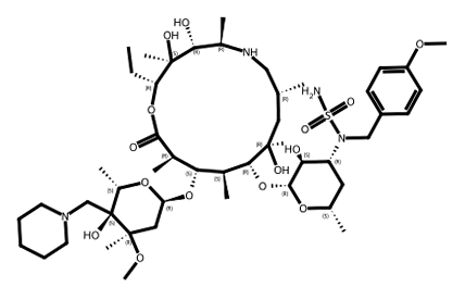 CC[C@H]1OC(=O)[C@H](C)[C@@H](O[C@H]2C[C@@](C)(OC)[C@](O)(CN3CCCCC3)[C@H](C)O2)[C@H](C)[C@@H](O[C@H]2O[C@@H](C)C[C@@H](N(Cc3ccc(OC)cc3)S(N)(=O)=O)[C@@H]2O)[C@](C)(O)C[C@@H](C)CN[C@H](C)[C@@H](O)[C@]1(C)O